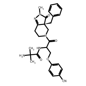 CN1N=C2CCN(C(=O)C(COc3ccc(C#N)cc3)NC(=O)C(C)(C)N)C[C@@]2(Cc2ccccc2)C1=O